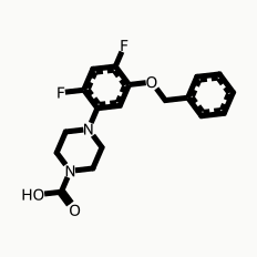 O=C(O)N1CCN(c2cc(OCc3ccccc3)c(F)cc2F)CC1